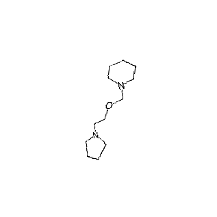 C1CCN(COCCN2CCCC2)CC1